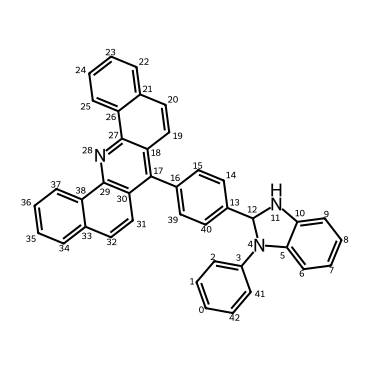 c1ccc(N2c3ccccc3NC2c2ccc(-c3c4ccc5ccccc5c4nc4c3ccc3ccccc34)cc2)cc1